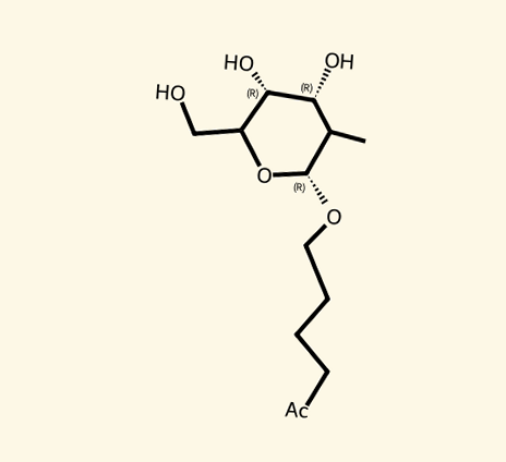 CC(=O)CCCCO[C@@H]1OC(CO)[C@H](O)[C@H](O)C1C